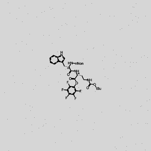 CCCCCCCCCN[C@@H](Cc1c[nH]c2ccccc12)C(=O)N[C@H](CCNC(=O)OC(C)(C)C)C(=O)Oc1c(F)c(F)c(F)c(F)c1F